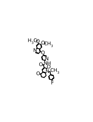 COc1cc2nccc(Oc3ccc(NC(=O)c4cc5c(n(C(C)c6ccc(F)cc6)c4=O)CCCC5=O)nc3)c2cc1OC